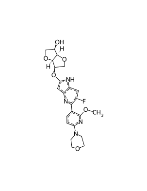 COc1nc(N2CCOCC2)ccc1-c1nc2cc(O[C@@H]3CO[C@H]4[C@@H]3OC[C@H]4O)[nH]c2cc1F